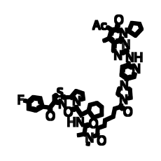 CC(=O)c1c(C)c2cnc(Nc3ccc(N4CCN(C(=O)CCCCCC(=O)N(C)C(C)C(=O)N[C@H](C(=O)N5CCCC5c5nc(C(=O)c6ccc(F)cc6)cs5)C5CCCCC5)CC4)cn3)nc2n(C2CCCC2)c1=O